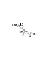 CCOC(=O)C1(CC)CCC(N2CC3(CCN(C(=O)OC(C)(C)C)CC3)NC2=O)CC1